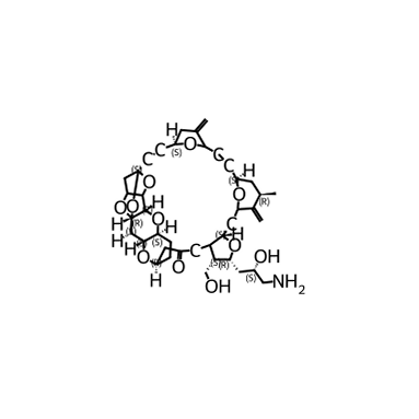 C=C1C[C@@H]2CC[C@@]34CC5O[C@H]6[C@@H](O3)[C@H]3O[C@H](CC[C@@H]3O[C@H]6C5O4)CC(=O)CC3[C@H](CC4O[C@@H](CCC1O2)C[C@@H](C)C4=C)O[C@H](C[C@H](O)CN)[C@@H]3CO